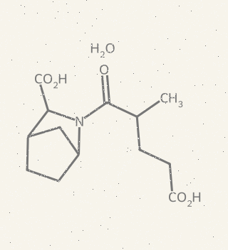 CC(CCC(=O)O)C(=O)N1C2CCC(C2)C1C(=O)O.O